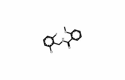 COc1ccccc1C(=O)NCc1c(F)cccc1Cl